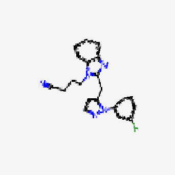 N#CCCCn1c(Cc2ccnn2-c2cccc(F)c2)nc2ccccc21